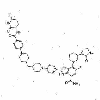 CN1CCN([C@@H]2CCCN(c3c(F)cc(C(N)=O)c4[nH]c(-c5ccc(N6CCC(CN7CCN(c8ccc(C(=O)N[C@H]9CCC(=O)NC9=O)nc8)CC7)CC6)cc5)cc34)C2)C1=O